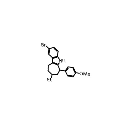 CCC1CCc2c([nH]c3ccc(Br)cc23)C(c2ccc(OC)cc2)C1